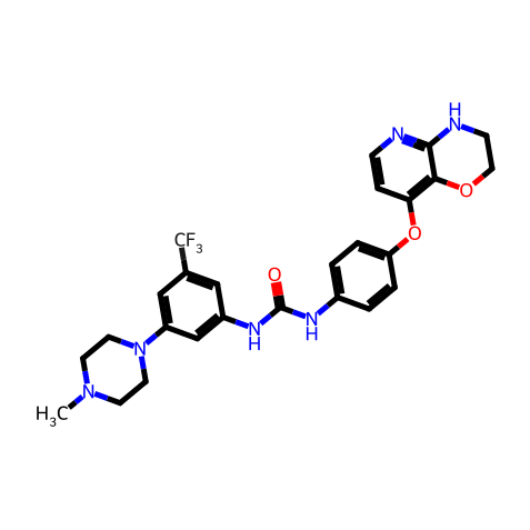 CN1CCN(c2cc(NC(=O)Nc3ccc(Oc4ccnc5c4OCCN5)cc3)cc(C(F)(F)F)c2)CC1